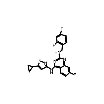 Fc1ccc(CNc2nc(Nc3cc(C4CC4)[nH]n3)c3ccc(F)cc3n2)c(F)c1